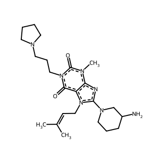 CC(C)=CCn1c(N2CCCC(N)C2)nc2c1c(=O)n(CCCN1CCCC1)c(=O)n2C